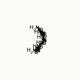 Cn1cc(NC(=O)c2nc(NC(=O)CCN)cn2C)cc1C(=O)NCCC(=O)Nc1cn(C)c(C(N)=O)n1